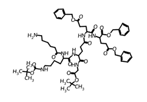 CC(C)(C)OC(=O)CNC(=O)C(CCC(=O)NC(CCC(=O)OCc1ccccc1)C(=O)NC(CCC(=O)OCc1ccccc1)C(=O)OCc1ccccc1)NC(=O)C(CCCCNC(=O)OC(C)(C)C)NC(=O)CCCCCN